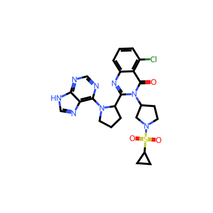 O=c1c2c(Cl)cccc2nc(C2CCCN2c2ncnc3[nH]cnc23)n1C1CCN(S(=O)(=O)C2CC2)C1